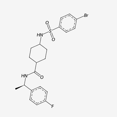 C[C@@H](NC(=O)C1CCC(NS(=O)(=O)c2ccc(Br)cc2)CC1)c1ccc(F)cc1